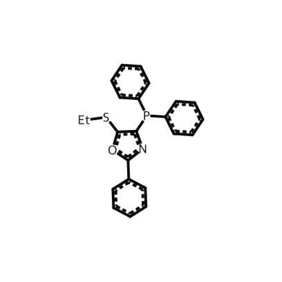 CCSc1oc(-c2ccccc2)nc1P(c1ccccc1)c1ccccc1